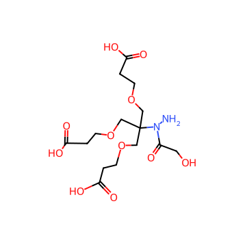 NN(C(=O)CO)C(COCCC(=O)O)(COCCC(=O)O)COCCC(=O)O